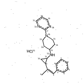 CC(=Cc1ccccc1)C1CC1NC1CCN(c2ncccn2)CC1.Cl